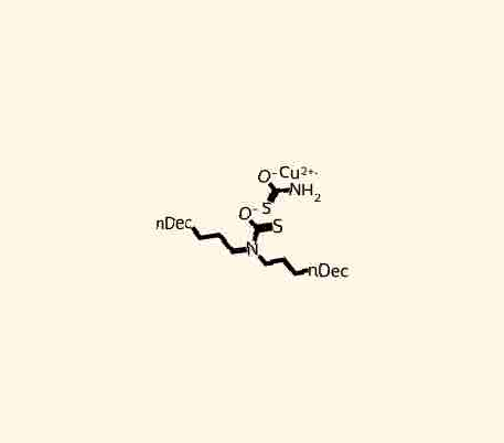 CCCCCCCCCCCCCN(CCCCCCCCCCCCC)C([O-])=S.NC([O-])=S.[Cu+2]